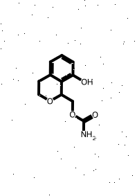 NC(=O)OCC1OCCc2cccc(O)c21